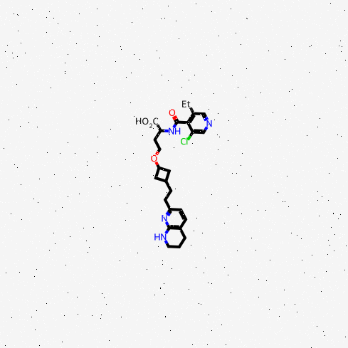 CCc1cncc(Cl)c1C(=O)NC(CCOC1CC(CCc2ccc3c(n2)NCCC3)C1)C(=O)O